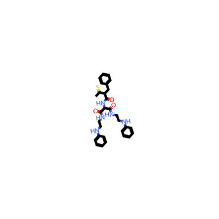 CC(=S)C(Cc1ccccc1)C(=O)NC(C(=O)NCCNc1ccccc1)C(=O)NCCNc1ccccc1